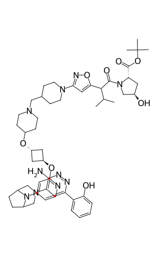 CC(C)C(C(=O)N1C[C@H](O)C[C@H]1C(=O)OC(C)(C)C)c1cc(N2CCC(CN3CCC(O[C@H]4C[C@H](Oc5cc(N6C7CCC6CN(c6cc(-c8ccccc8O)nnc6N)C7)ccn5)C4)CC3)CC2)no1